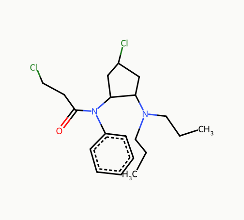 CCCN(CCC)C1CC(Cl)CC1N(C(=O)CCCl)c1ccccc1